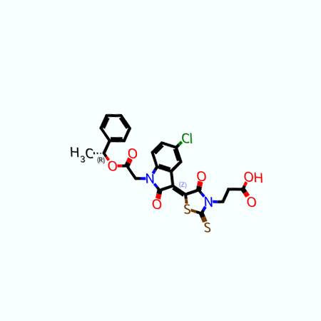 C[C@@H](OC(=O)CN1C(=O)/C(=C2\SC(=S)N(CCC(=O)O)C2=O)c2cc(Cl)ccc21)c1ccccc1